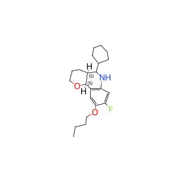 CCCCOc1cc2c(cc1F)NC(C1CCCCC1)[C@@H]1CCCO[C@H]21